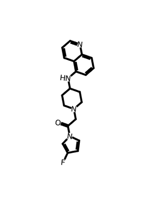 O=C(CN1CCC(Nc2cccc3ncccc23)CC1)n1ccc(F)c1